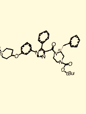 CC(C)(C)OC(=O)N1CCN(C(=O)c2ncn(-c3cccc(OC4CCS(=O)(=O)CC4)c3)c2-c2ccccc2)[C@H](Cc2ccccc2)C1